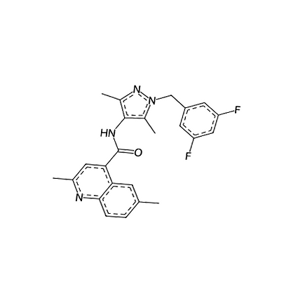 Cc1ccc2nc(C)cc(C(=O)Nc3c(C)nn(Cc4cc(F)cc(F)c4)c3C)c2c1